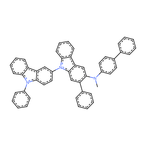 CN(c1ccc(-c2ccccc2)cc1)c1cc2c3ccccc3n(-c3ccc4c(c3)c3ccccc3n4-c3ccccc3)c2cc1-c1ccccc1